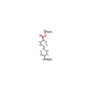 CCCCCCC[C@H]1CC[C@H]([C@H]2CC[C@H](C(=O)OCCCCC)CC2)CC1